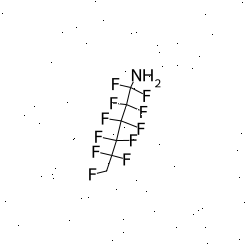 NC(F)(F)C(F)(F)C(F)(F)C(F)(F)C(F)(F)CF